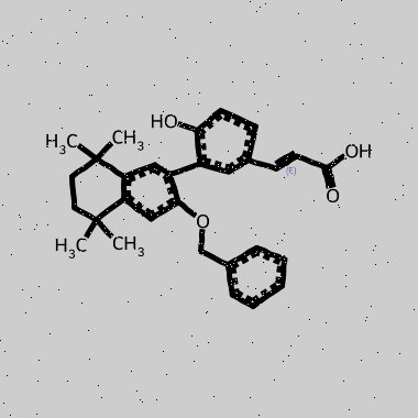 CC1(C)CCC(C)(C)c2cc(-c3cc(/C=C/C(=O)O)ccc3O)c(OCc3ccccc3)cc21